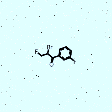 O=C(c1cccc(F)c1)C(Br)CF